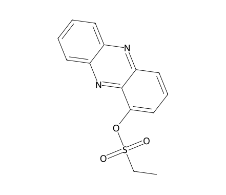 CCS(=O)(=O)Oc1cccc2nc3ccccc3nc12